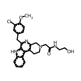 COc1ccc(Cc2nc3c(c4c2[nH]c2ccccc24)CCN(CC(=O)NCCO)C3)cc1Cl